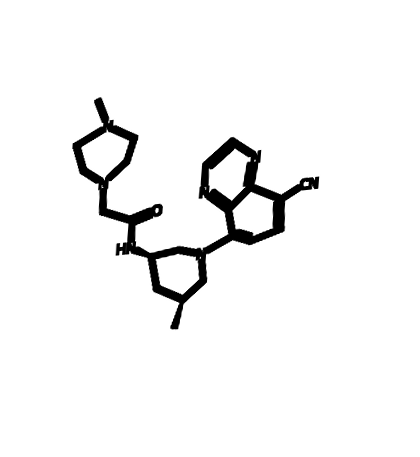 C[C@H]1C[C@@H](NC(=O)CN2CCN(C)CC2)CN(c2ccc(C#N)c3nccnc23)C1